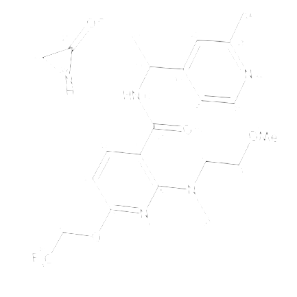 COCCN(C)c1nc(OCC(F)(F)F)ccc1C(=O)NC(C)c1ccnc(C)c1.O=C1CN1